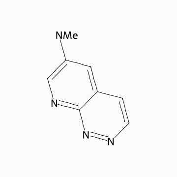 CNc1cnc2nnccc2c1